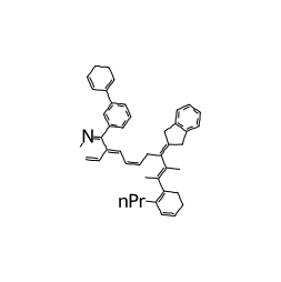 C=CC(=C\C=C/CC(=C1Cc2ccccc2C1)/C(C)=C(\C)C1=C(CCC)C=CCC1)/C(=N\C)c1cccc(C2=CCCC=C2)c1